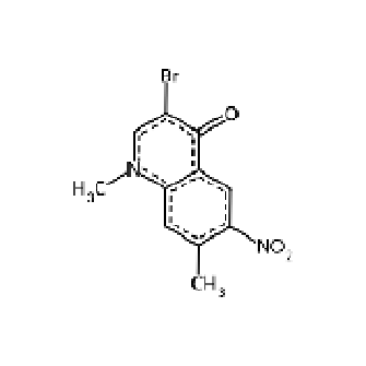 Cc1cc2c(cc1[N+](=O)[O-])c(=O)c(Br)cn2C